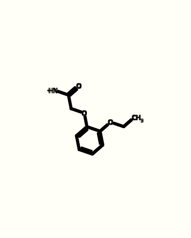 CCOc1ccccc1OCC([NH])=O